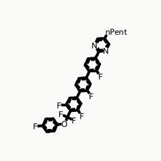 CCCCCc1cnc(-c2ccc(-c3ccc(-c4cc(F)c(C(F)(F)Oc5ccc(F)cc5)c(F)c4)c(F)c3)c(F)c2)nc1